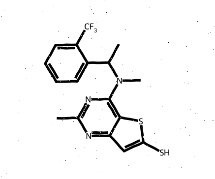 Cc1nc(N(C)C(C)c2ccccc2C(F)(F)F)c2sc(S)cc2n1